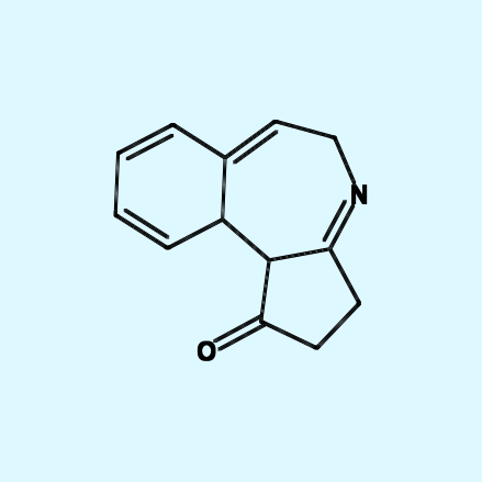 O=C1CCC2=NCC=C3C=CC=CC3C12